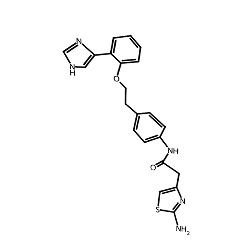 Nc1nc(CC(=O)Nc2ccc(CCOc3ccccc3-c3c[nH]cn3)cc2)cs1